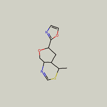 CC1SC=NC2COC(c3ncco3)CC21